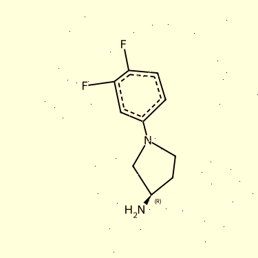 N[C@@H]1CCN(c2ccc(F)c(F)c2)C1